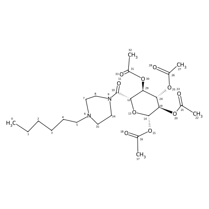 CCCCCCN1CCN(C(=O)[C@H]2O[C@@H](OC(C)=O)[C@H](OC(C)=O)[C@@H](OC(C)=O)[C@@H]2OC(C)=O)CC1